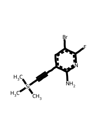 C[Si](C)(C)C#Cc1cc(Br)c(F)nc1N